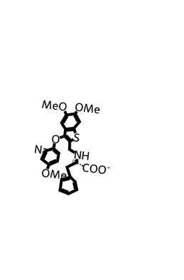 COc1ccc(Oc2c(CN[C@@H](Cc3ccccc3)C(=O)[O-])sc3cc(OC)c(OC)cc23)cc1.[Na+]